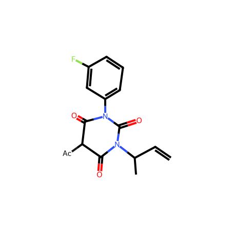 C=CC(C)N1C(=O)C(C(C)=O)C(=O)N(c2cccc(F)c2)C1=O